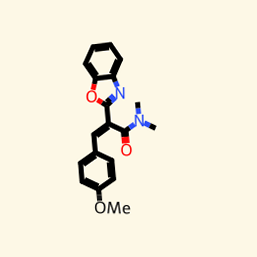 COc1ccc(C=C(C(=O)N(C)C)c2nc3ccccc3o2)cc1